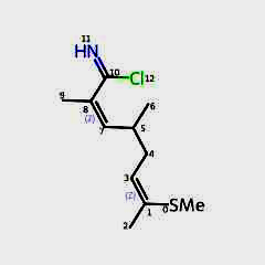 CS/C(C)=C\CC(C)/C=C(/C)C(=N)Cl